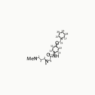 CNCCCN(C)CC(=O)Nc1ccc(OCc2ccccc2)cc1